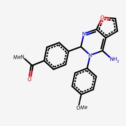 CNC(=O)c1ccc(C2N=c3occc3=C(N)N2c2ccc(OC)cc2)cc1